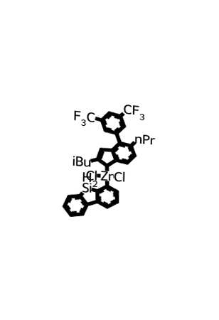 CCCc1ccc2c(c1-c1cc(C(F)(F)F)cc(C(F)(F)F)c1)C=C(C(C)CC)[CH]2[Zr]([Cl])([Cl])[c]1cccc2c1[SiH2]c1ccccc1-2